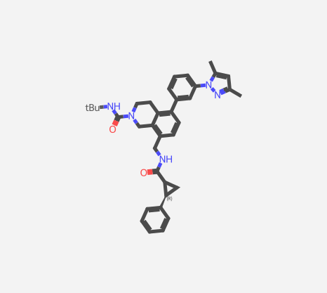 Cc1cc(C)n(-c2cccc(-c3ccc(CNC(=O)C4C[C@H]4c4ccccc4)c4c3CCN(C(=O)NC(C)(C)C)C4)c2)n1